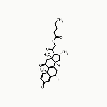 CCCCC(=O)OCC(=O)[C@H]1[C@H](C)C[C@H]2C3=C(C(=O)C[C@@]21C)[C@@]1(C)C=CC(=O)C=C1[C@@H](F)C3